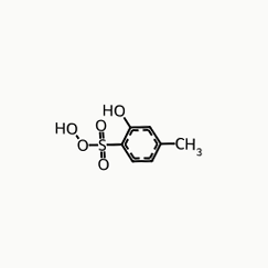 Cc1ccc(S(=O)(=O)OO)c(O)c1